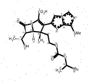 CSc1ncn2cc(C3=C(C(=O)O)N4C(=O)[C@H]([C@@H](C)O)[C@@H]4[C@@]3(C)CCOC(=O)OC(C)C(C)(C)C)sc12